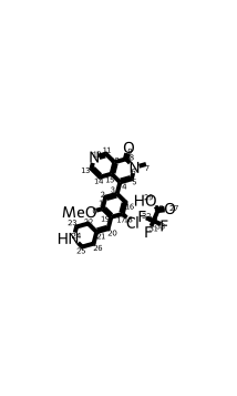 COc1cc(-c2cn(C)c(=O)c3cnccc23)cc(Cl)c1C=C1CCNCC1.O=C(O)C(F)(F)F